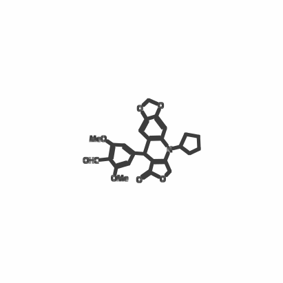 COc1cc(C2C3=C(COC3=O)N(C3CCCC3)c3cc4c(cc32)OCO4)cc(OC)c1C=O